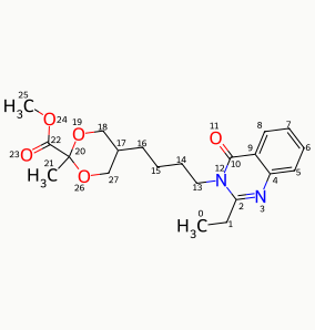 CCc1nc2ccccc2c(=O)n1CCCCC1COC(C)(C(=O)OC)OC1